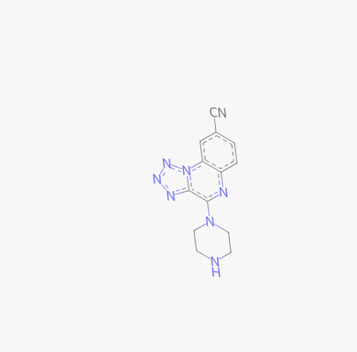 N#Cc1ccc2nc(N3CCNCC3)c3nnnn3c2c1